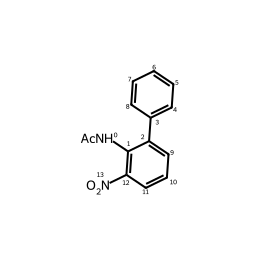 CC(=O)Nc1c(-c2ccccc2)cccc1[N+](=O)[O-]